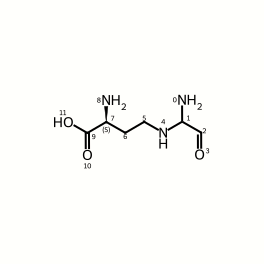 NC(C=O)NCC[C@H](N)C(=O)O